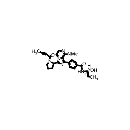 CC#CC(=O)N1CCCC1c1nc(-c2ccc(C(=O)N/C(=C/C)NO)cc2)c2c(NC)nccn12